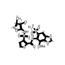 COc1c(NC(=O)c2sccc2S(=O)(=O)Nc2onc(C)c2Cl)c(S(C)(=O)=O)cc2c1OCO2